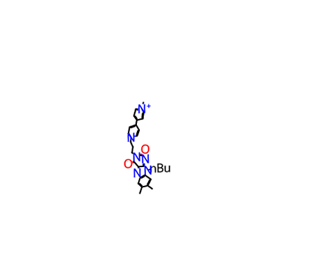 CCCCn1c2nc(=O)n(CCCN3C=CC(c4cc[n+](C)cc4)=CC3)c(=O)c-2nc2cc(C)c(C)cc21